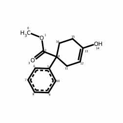 COC(=O)C1(c2ccccc2)CC=C(O)CC1